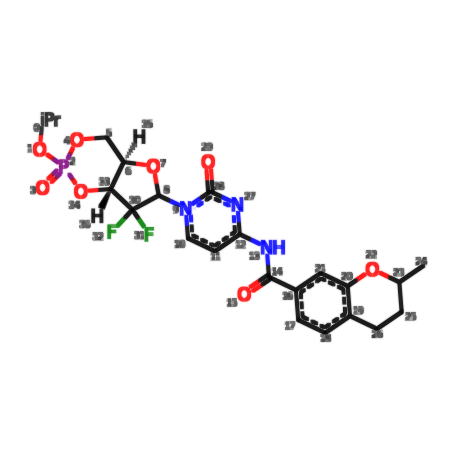 CC(C)OP1(=O)OC[C@H]2OC(n3ccc(NC(=O)c4ccc5c(c4)OC(C)CC5)nc3=O)C(F)(F)[C@@H]2O1